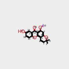 CC1(C)C=Cc2c(cc(OI)c3c(=O)c4cc(O)ccc4oc23)O1